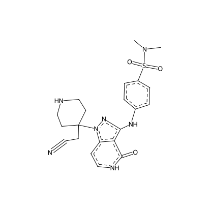 CN(C)S(=O)(=O)c1ccc(Nc2nn(C3(CC#N)CCNCC3)c3cc[nH]c(=O)c23)cc1